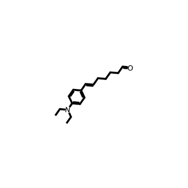 CCN(CC)c1ccc(C=CCCCCC=O)cc1